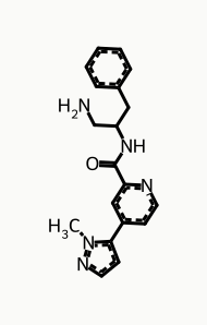 Cn1nccc1-c1ccnc(C(=O)NC(CN)Cc2ccccc2)c1